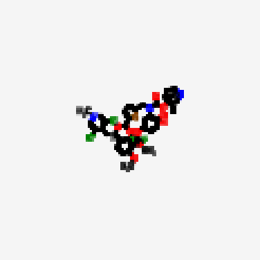 COc1ccc([C@H](Cc2c(Cl)c[n+](C)cc2Cl)OC(=O)c2ccc(CN(C(=O)O[C@H]3CN4CCC3CC4)c3cc(OC(F)(F)F)ccc3O)s2)cc1OC